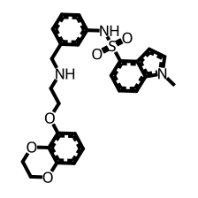 Cn1ccc2c(S(=O)(=O)Nc3cccc(CNCCOc4cccc5c4OCCO5)c3)cccc21